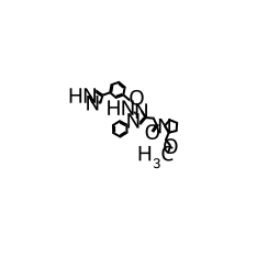 COCC1CCCN1C(=O)Cc1cn(-c2ccccc2)c(NC(=O)c2cccc(-c3cn[nH]c3)c2)n1